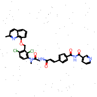 Cc1ccc2cccc(OCc3c(Cl)ccc(N(C)C(=O)CNC(=O)C=Cc4ccc(C(=O)NC(=O)c5cccnc5)cc4)c3Cl)c2n1